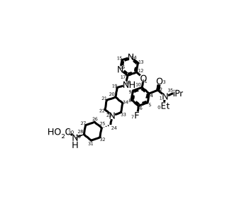 CCN(C(=O)c1cc(F)ccc1Oc1cncnc1NCC1CCN(C[C@H]2CC[C@H](NC(=O)O)CC2)CC1)C(C)C